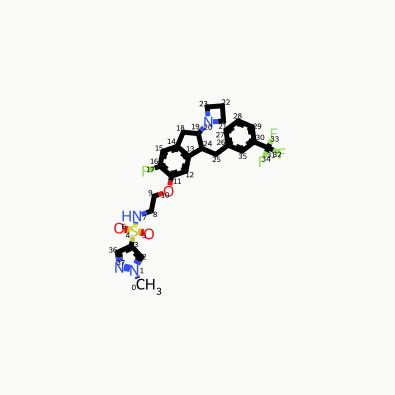 Cn1cc(S(=O)(=O)NCCOc2cc3c(cc2F)CC(N2CCC2)C3Cc2cccc(C(F)(F)F)c2)cn1